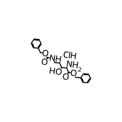 Cl.N[C@H](C(=O)OCc1ccccc1)C(O)CCNC(=O)OCc1ccccc1